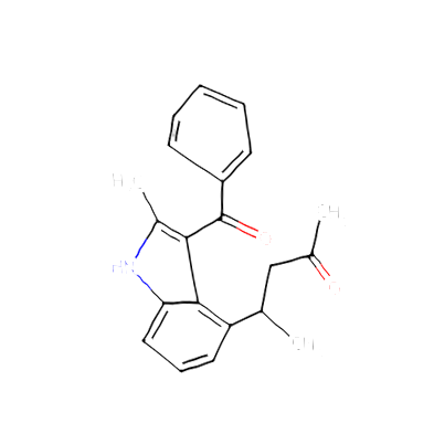 CC(=O)CC(C)c1cccc2[nH]c(C)c(C(=O)c3ccccc3)c12